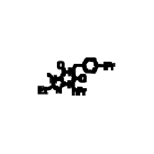 CCCn1c(=O)n(Cc2ccc(C(C)C)cc2)c(=O)c2c1nc(CC)n2C